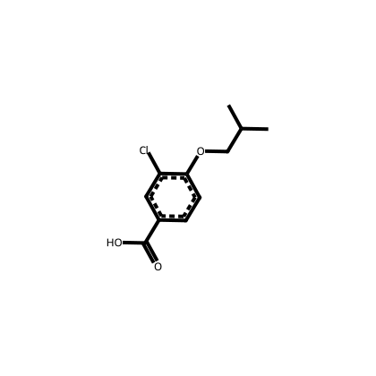 CC(C)COc1ccc(C(=O)O)cc1Cl